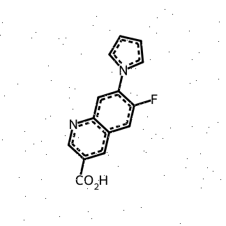 O=C(O)c1cnc2cc(-n3cccc3)c(F)cc2c1